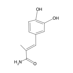 C/C(=C\c1ccc(O)c(O)c1)C(N)=O